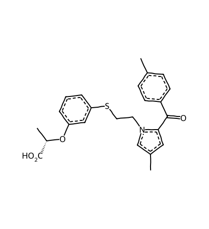 Cc1ccc(C(=O)c2cc(C)cn2CCSc2cccc(O[C@@H](C)C(=O)O)c2)cc1